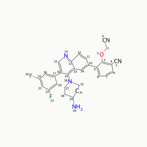 N#CCOc1c(C#N)cccc1-c1ccc2ncc(-c3cc(F)cc(F)c3)c(N3CCC(N)CC3)c2c1